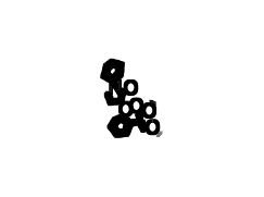 COC=C(C(=O)OC)c1ccccc1OC1CCN(c2ccccc2)C1=O